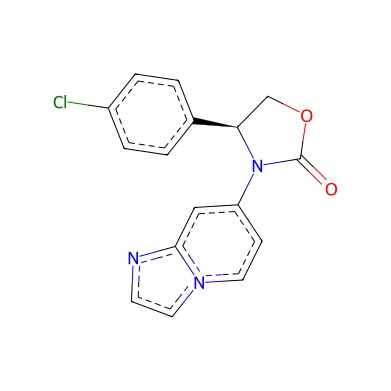 O=C1OC[C@H](c2ccc(Cl)cc2)N1c1ccn2ccnc2c1